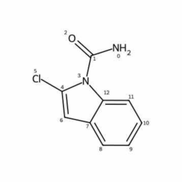 NC(=O)n1c(Cl)cc2ccccc21